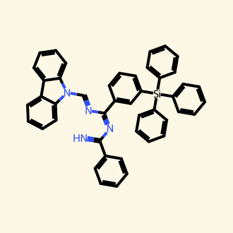 N=C(/N=C(\N=C\n1c2ccccc2c2ccccc21)c1cccc([Si](c2ccccc2)(c2ccccc2)c2ccccc2)c1)c1ccccc1